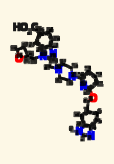 Cn1cnc2ccc(COc3cccc(N4CCN(Cc5nc6ccc(C(=O)O)cc6n5C[C@@H]5CCO5)CC4)n3)cc21